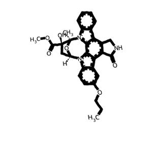 CCCOc1ccc2c(c1)c1c3c(c4c5ccccc5n5c4c1n2[C@H]1C[C@](O)(C(=O)OC)[C@]5(C)O1)CNC3=O